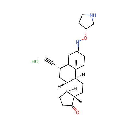 C#C[C@H]1C[C@@H]2[C@H](CC[C@]3(C)C(=O)CC[C@@H]23)[C@@]2(C)CCC(=NO[C@@H]3CCNC3)CC12.Cl